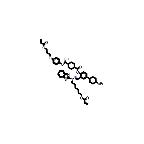 C=CC(=O)OCCCCCCN(/N=C/c1cc(C2CCC(CCC)CC2)ccc1OC(=O)C1CCC(C(O)Oc2ccc(OCCCOC(=O)C=C)cc2)CC1)c1nc2ccccc2s1